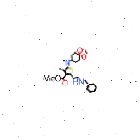 COC(=O)c1c(CCNCc2ccccc2)sc(N(C)C2CCC3(CC2)OCCO3)c1C